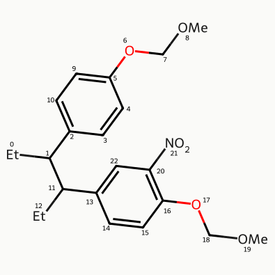 CCC(c1ccc(OCOC)cc1)C(CC)c1ccc(OCOC)c([N+](=O)[O-])c1